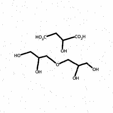 O=C(O)CC(O)C(=O)O.OCC(O)COCC(O)CO